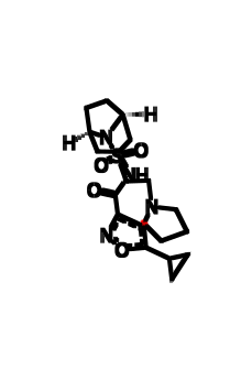 O=C(N[C@H]1C[C@H]2CC[C@@H](C1)N2S(=O)(=O)CCN1CCCC1)c1cc(C2CC2)on1